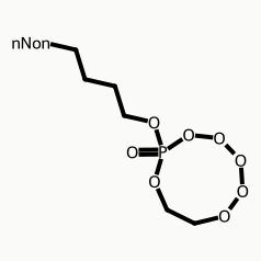 CCCCCCCCCCCCCOP1(=O)OCCOOOOO1